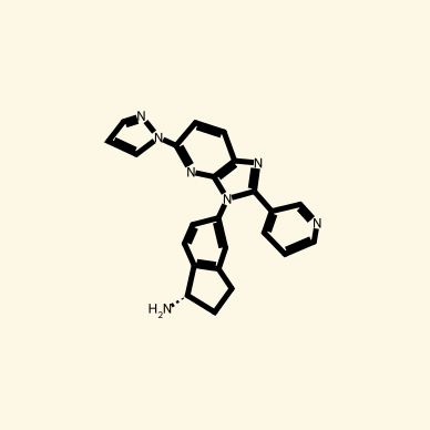 N[C@H]1CCc2cc(-n3c(-c4cccnc4)nc4ccc(-n5cccn5)nc43)ccc21